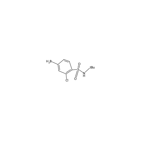 Bc1ccc(S(=O)(=O)NC(C)(C)C)c(Cl)c1